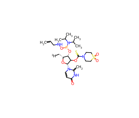 [2H]C[C@H]1O[C@@H](N2C=CC(=O)NC2=C)C(OC(=S)N2CCS(=O)(=O)CC2)[C@H]1OP(ONCC=C)N(C(C)C)C(C)C